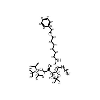 CC(C)[Si](OCC(=O)[C@@H]1OC(C)(C)O[C@@H]1[C@H](CNCCCCCCOCc1ccccc1)N=[N+]=[N-])(C(C)C)C(C)C